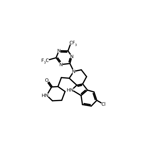 O=C1NCCCC1CC1c2[nH]c3ccc(Cl)cc3c2CCN1c1nc(C(F)(F)F)nc(C(F)(F)F)n1